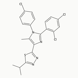 Cc1c(-c2nnc(C(C)C)s2)nc(-c2ccc(Cl)cc2Cl)n1-c1ccc(Cl)cc1